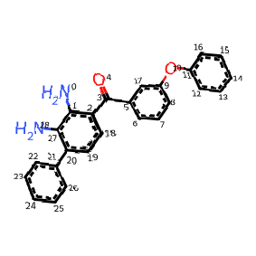 Nc1c(C(=O)c2cccc(Oc3ccccc3)c2)ccc(-c2ccccc2)c1N